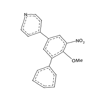 COc1c(-c2ccccc2)cc(-c2ccncc2)cc1[N+](=O)[O-]